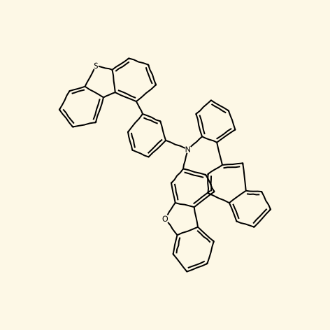 c1cc(-c2cccc3sc4ccccc4c23)cc(N(c2ccc3c(c2)oc2ccccc23)c2ccccc2-c2ccc3ccccc3c2)c1